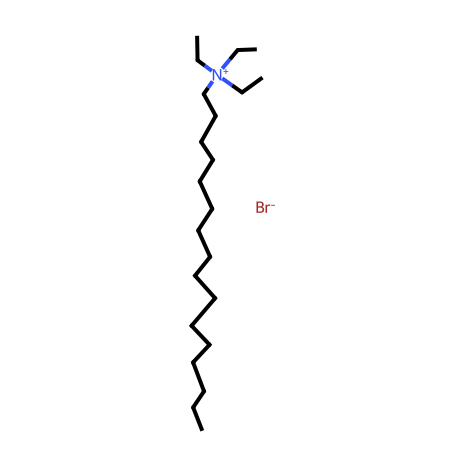 CCCCCCCCCCCCCCCC[N+](CC)(CC)CC.[Br-]